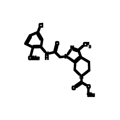 COc1ccc(Cl)cc1NC(=O)Cn1nc(C(F)(F)F)c2c1CN(C(=O)OC(C)(C)C)CC2